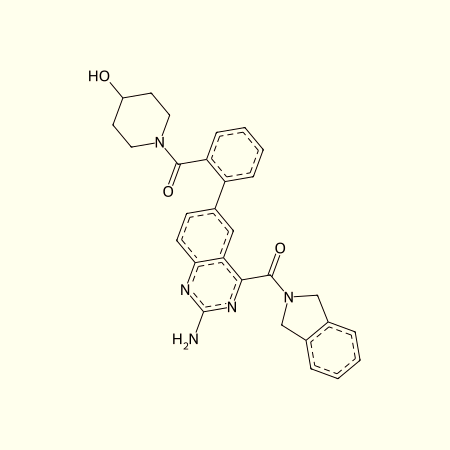 Nc1nc(C(=O)N2Cc3ccccc3C2)c2cc(-c3ccccc3C(=O)N3CCC(O)CC3)ccc2n1